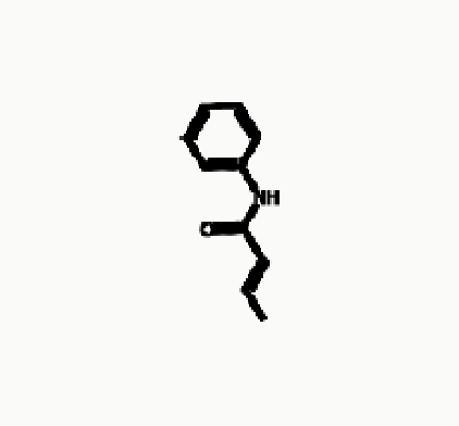 CC=CC(=O)Nc1c[c]ccc1